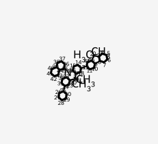 CC1(C)c2ccccc2-c2ccc(-c3ccc4c(c3)C(C)(C)c3cc(-c5ccccc5)ccc3N4c3cccc4ccccc34)cc21